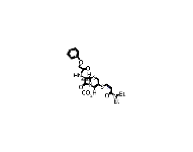 CCN(CC)C(=O)/C=C\SC1=C(C(=O)O)N2C(=O)[C@@H](NC(=O)COc3ccccc3)[C@@H]2SC1